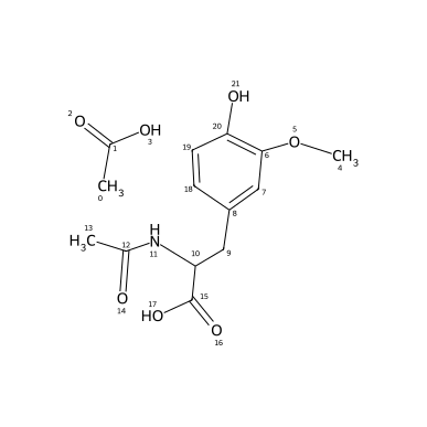 CC(=O)O.COc1cc(CC(NC(C)=O)C(=O)O)ccc1O